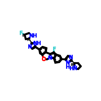 Fc1c2n(c3ccc(-c4cnc([C@@H]5CCCN5)[nH]4)cc13)COc1cc(-c3cnc([C@@H]4C[C@@H](F)CN4)[nH]3)ccc1-2